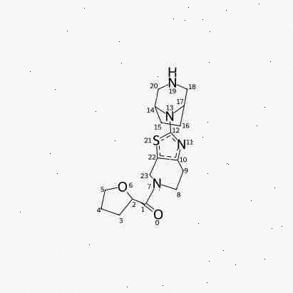 O=C(C1CCCO1)N1CCc2nc(N3C4CCC3CNC4)sc2C1